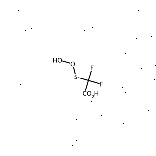 O=C(O)C(F)(F)SOO